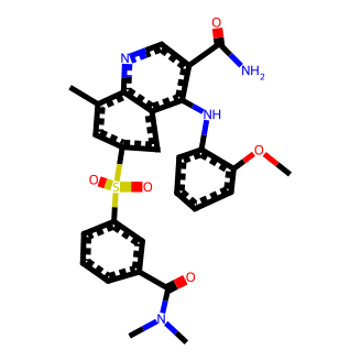 COc1ccccc1Nc1c(C(N)=O)cnc2c(C)cc(S(=O)(=O)c3cccc(C(=O)N(C)C)c3)cc12